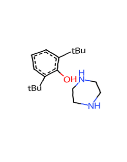 C1CNCCN1.CC(C)(C)c1cccc(C(C)(C)C)c1O